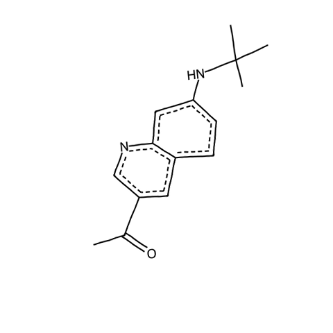 CC(=O)c1cnc2cc(NC(C)(C)C)ccc2c1